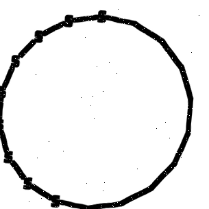 C1CCCCSSSSSSSSSCCCC1